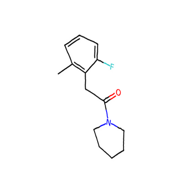 Cc1cccc(F)c1CC(=O)N1CCCCC1